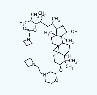 COC(C[C@@H](C)[C@H]1C[C@H](O)[C@@]2(C)C3CC[C@H]4C(C)(C)[C@@H](O[C@H]5CN(CCN6CCC6)CCO5)CC[C@@]45CC35CC[C@]12C)[C@H](OC(=O)N1CCC1)C(C)C